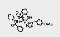 COc1ccc(Cn2ccnc2[C@H]2Nc3ccccc3[C@@H]3[C@H]2CCN3C(=O)[C@H]2CCCC[C@H]2NC(=O)c2ccccc2)cc1